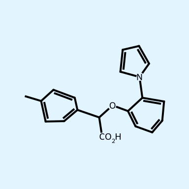 Cc1ccc(C(Oc2ccccc2-n2cccc2)C(=O)O)cc1